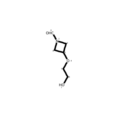 O=CN1CC(OCCO)C1